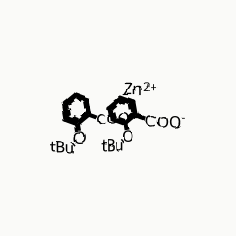 CC(C)(C)Oc1ccccc1C(=O)[O-].CC(C)(C)Oc1ccccc1C(=O)[O-].[Zn+2]